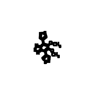 COc1c(OC)c(-c2ccsc2)c2nsnc2c1-c1ccsc1